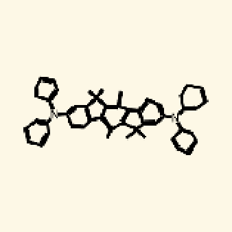 Cc1c2c(c(C)c3c1C(C)(C)c1cc(N(c4ccccc4)c4ccccc4)ccc1-3)C(C)(C)c1cc(N(C3=CC=CCC3)C3C=CC=CC3)ccc1-2